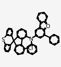 Clc1cccc2c1-c1c(N(c3ccccc3)c3cc(-c4ccccc4)c4oc5ccccc5c4c3)cccc1C21c2ccccc2Sc2ccccc21